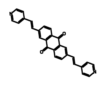 O=C1c2ccc(/C=C/c3ccncc3)cc2C(=O)c2ccc(/C=C/c3ccncc3)cc21